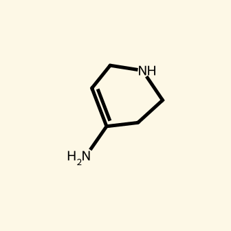 NC1=CCNCC1